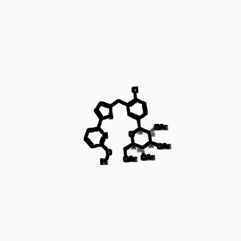 CCOc1cccc(-c2ccc(Cc3cc([C@@H]4O[C@H](COC(C)=O)[C@@H](OC(C)=O)[C@H](OC(C)=O)[C@H]4OC(C)=O)ccc3Cl)s2)n1